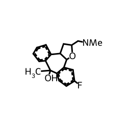 CNCC1CC2c3ccccc3C(C)(O)c3ccc(F)cc3C2O1